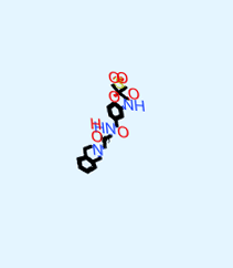 O=C(NC[C@H](O)CN1CCc2ccccc2C1)c1ccc2c(c1)NC(=O)C1(CS(=O)(=O)C1)O2